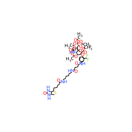 COC(=O)C1(Oc2ccc(NC(=O)CCC(=O)NCCCCCCNC(=O)CCCCC3SCC4NC(=O)NC43)cc2C(F)F)CC(OC(C)=O)[C@H](NC(C)=O)C([C@H](OC(C)=O)[C@@H](COC(C)=O)OC(C)=O)O1